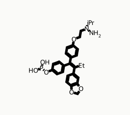 CCC(=C(c1ccc(OCCN(N)C(C)C)cc1)c1ccc(OP(O)O)cc1)c1ccc2c(c1)OCO2